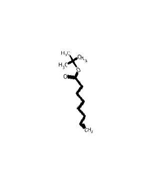 C=CCCCCCC(=O)OC(C)(C)C